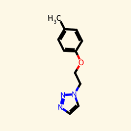 Cc1ccc(OCCn2ccnn2)cc1